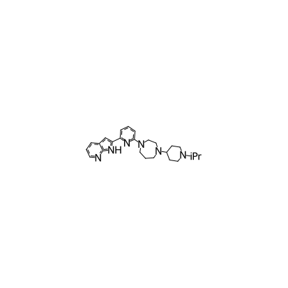 CC(C)N1CCC(N2CCCN(c3cccc(-c4cc5cccnc5[nH]4)n3)CC2)CC1